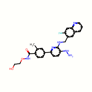 Cc1cc(-c2ccc(NN)c(NCc3cc4cccnc4cc3F)n2)ccc1C(=O)NOCCO